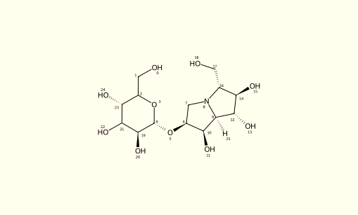 OCC1O[C@H](O[C@H]2CN3[C@H]([C@H]2O)[C@@H](O)[C@H](O)[C@H]3CO)[C@@H](O)C(O)[C@@H]1O